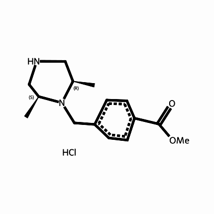 COC(=O)c1ccc(CN2[C@H](C)CNC[C@@H]2C)cc1.Cl